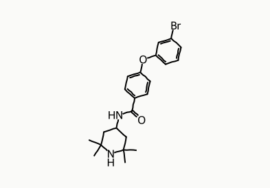 CC1(C)CC(NC(=O)c2ccc(Oc3cccc(Br)c3)cc2)CC(C)(C)N1